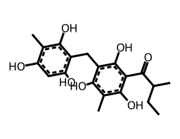 CCC(C)C(=O)c1c(O)c(C)c(O)c(Cc2c(O)cc(O)c(C)c2O)c1O